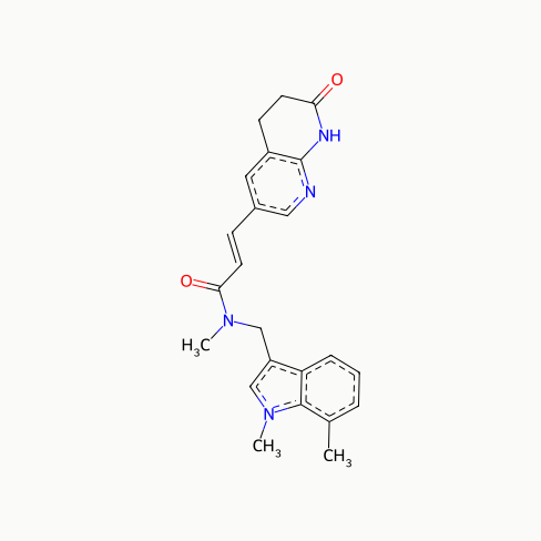 Cc1cccc2c(CN(C)C(=O)/C=C/c3cnc4c(c3)CCC(=O)N4)cn(C)c12